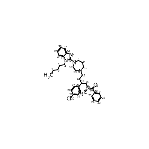 CCCCCn1c(N2CCCN(CCC(CN(C)C(=O)c3ccccc3)c3ccc(Cl)cc3)CC2)nc2ccccc21